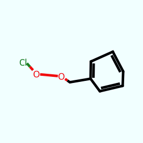 ClOOCc1ccccc1